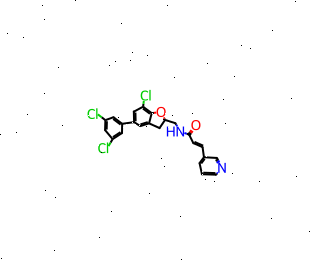 O=C(C=Cc1cccnc1)NCC1Cc2cc(-c3cc(Cl)cc(Cl)c3)cc(Cl)c2O1